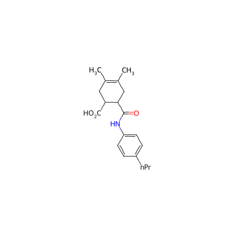 CCCc1ccc(NC(=O)C2CC(C)=C(C)CC2C(=O)O)cc1